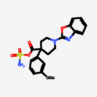 COc1cccc(C2(C(=O)OS(N)(=O)=O)CCN(c3nc4ccccc4o3)CC2)c1